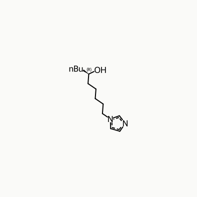 CCCC[C@@H](O)CCCCCn1ccnc1